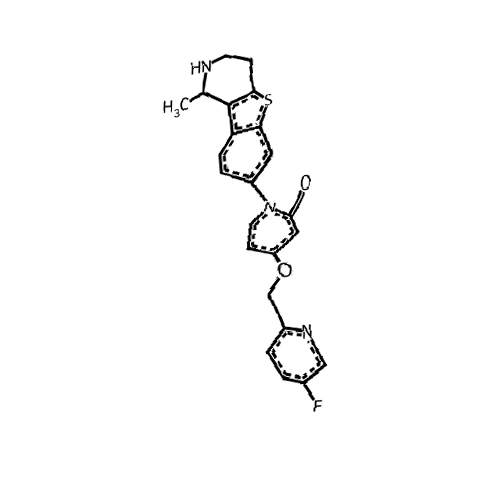 CC1NCCc2sc3cc(-n4ccc(OCc5ccc(F)cn5)cc4=O)ccc3c21